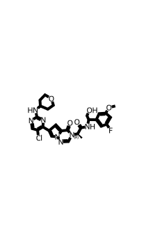 COc1cc(F)cc(C(CO)NC(=O)[C@@H](C)n2cnn3cc(-c4nc(NC5CCOCC5)ncc4Cl)cc3c2=O)c1